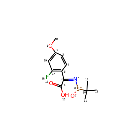 COc1ccc(C(=N[S@@+]([O-])C(C)(C)C)C(=O)O)c(F)c1